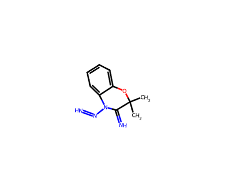 CC1(C)Oc2ccccc2N(N=N)C1=N